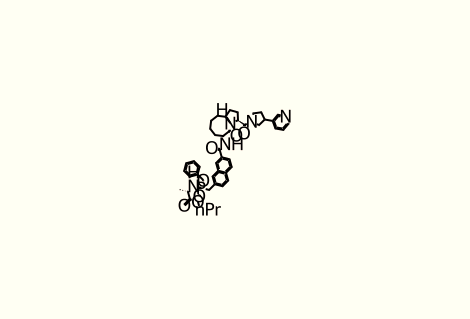 CCCOC(=O)[C@H](C)NP(=O)(Cc1ccc2ccc(C(=O)N[C@H]3CCCC[C@H]4CC[C@@H](C(=O)N5CCC(c6cccnc6)C5)N4C3=O)cc2c1)Oc1ccccc1